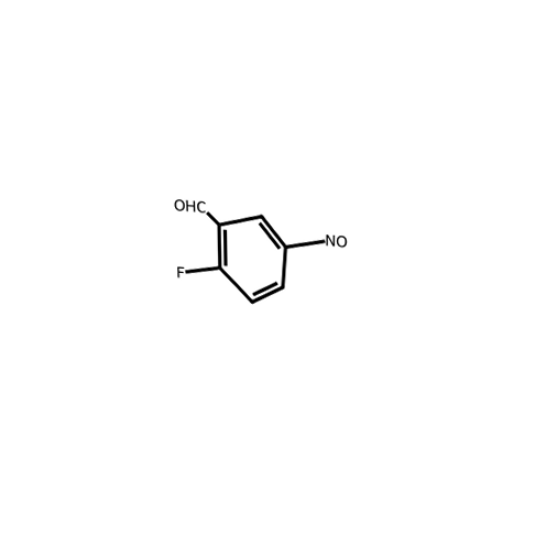 O=Cc1cc(N=O)ccc1F